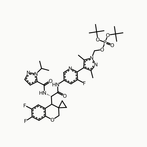 Cc1nn(COP(=O)(OC(C)(C)C)OC(C)(C)C)c(C)c1-c1ncc(NC(=O)[C@@H](NC(=O)c2ccnn2C(C)C)C2c3cc(F)c(F)cc3OCC23CC3)cc1F